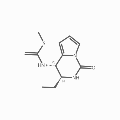 C=C(N[C@@H]1c2cccn2C(=O)N[C@H]1CC)SC